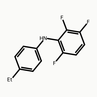 CCc1ccc(Nc2c(F)ccc(F)c2F)cc1